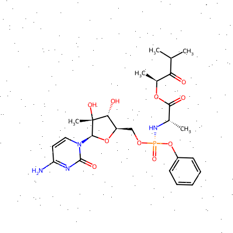 CC(C)C(=O)[C@H](C)OC(=O)[C@H](C)N[P@](=O)(OC[C@H]1O[C@@H](n2ccc(N)nc2=O)[C@](C)(O)[C@@H]1O)Oc1ccccc1